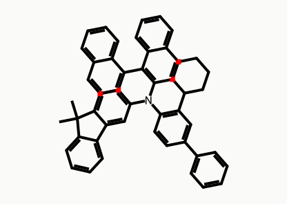 CC1(C)c2ccccc2-c2cc(N(c3ccc(-c4ccccc4)cc3C3CCCCC3)c3ccc4ccccc4c3-c3cccc4ccccc34)ccc21